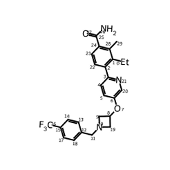 CCc1c(-c2ccc(OC3CN(Cc4ccc(C(F)(F)F)cc4)C3)cn2)ccc(C(N)=O)c1C